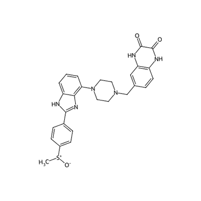 C[S+]([O-])c1ccc(-c2nc3c(N4CCN(Cc5ccc6[nH]c(=O)c(=O)[nH]c6c5)CC4)cccc3[nH]2)cc1